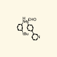 CC(C)(C)c1cccc(NN(C=O)c2ccc(-c3cccnc3)cc2)c1